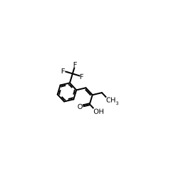 CCC(=Cc1ccccc1C(F)(F)F)C(=O)O